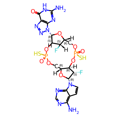 Nc1nc2c(nnn2[C@@H]2O[C@@H]3COP(=O)(S)O[C@H]4[C@H](F)[C@H](n5ccc6c(N)ncnc65)O[C@@H]4COP(=O)(S)O[C@@H]2[C@H]3F)c(=O)[nH]1